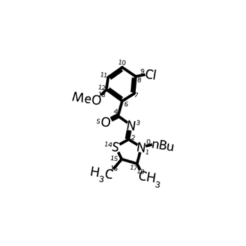 CCCCN1/C(=N/C(=O)c2cc(Cl)ccc2OC)SC(C)C1C